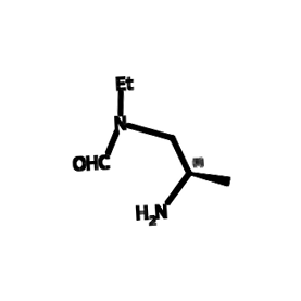 CCN(C=O)C[C@@H](C)N